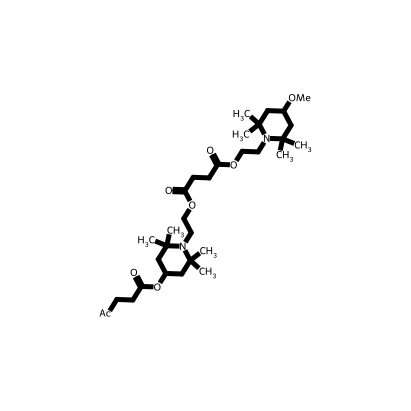 COC1CC(C)(C)N(CCOC(=O)CCC(=O)OCCN2C(C)(C)CC(OC(=O)CCC(C)=O)CC2(C)C)C(C)(C)C1